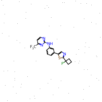 FC(F)(F)c1ccnc(Nc2cccc(-c3cnc(C4(F)CCC4)s3)c2)n1